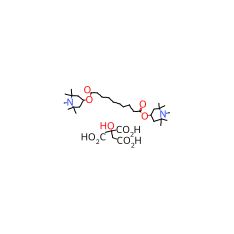 CN1C(C)(C)CC(OC(=O)CCCCCCCCC(=O)OC2CC(C)(C)N(C)C(C)(C)C2)CC1(C)C.O=C(O)CC(O)(CC(=O)O)C(=O)O